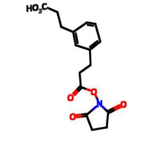 O=C(O)CCc1cccc(CCC(=O)ON2C(=O)CCC2=O)c1